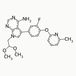 COC(Cn1cc(-c2ccc(Oc3cccc(C)n3)c(F)c2)c2c(N)ncnc21)OC